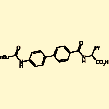 CCCCC(=O)Nc1ccc(-c2ccc(C(=O)N[C@H](C(=O)O)C(C)C)cc2)cc1